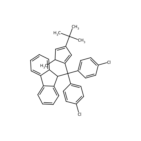 CC1C=C(C(C)(C)C)C=C1C(c1ccc(Cl)cc1)(c1ccc(Cl)cc1)C1c2ccccc2-c2ccccc21